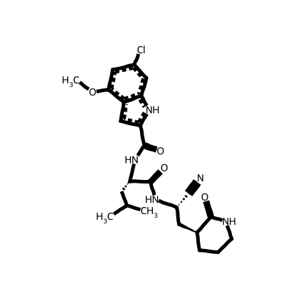 COc1cc(Cl)cc2[nH]c(C(=O)N[C@@H](CC(C)C)C(=O)N[C@H](C#N)C[C@@H]3CCCNC3=O)cc12